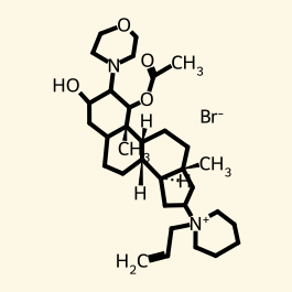 C=CC[N+]1(C2C[C@H]3[C@@H]4CCC5CC(O)C(N6CCOCC6)C(OC(C)=O)[C@]5(C)[C@@H]4CC[C@]3(C)C2)CCCCC1.[Br-]